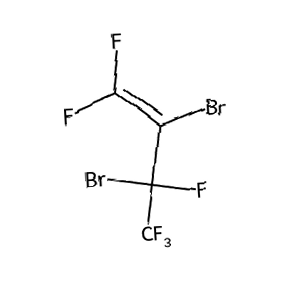 FC(F)=C(Br)C(F)(Br)C(F)(F)F